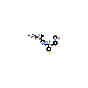 CCCC(=O)N[C@@H](c1cnn2cc([C@@H](NC(=O)c3cccc(N4CCCC4=O)c3)C3CCC(F)(F)CC3)nc2c1)C1CC1